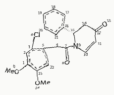 COc1cc(Cl)c(CC(=O)N2C=CC(=O)C[C@H]2c2ccccc2)cc1OC